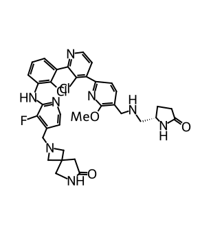 COc1nc(-c2ccnc(-c3cccc(Nc4nccc(CN5CC6(CNC(=O)C6)C5)c4F)c3Cl)c2Cl)ccc1CNC[C@@H]1CCC(=O)N1